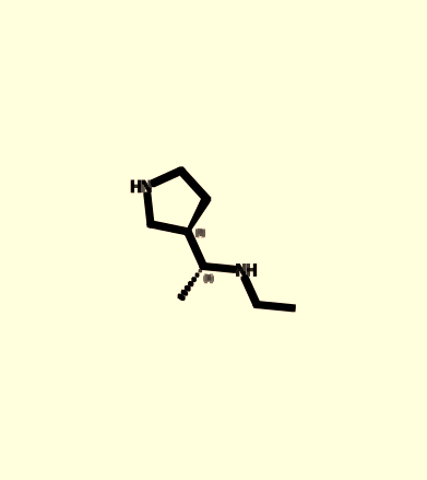 CCN[C@H](C)[C@@H]1CCNC1